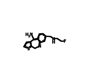 NC1=c2ccc(CNCCF)cc2=NCc2sccc21